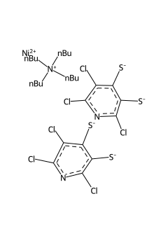 CCCC[N+](CCCC)(CCCC)CCCC.[Ni+2].[S-]c1c(Cl)nc(Cl)c(Cl)c1[S-].[S-]c1c(Cl)nc(Cl)c(Cl)c1[S-]